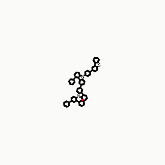 c1ccc(-c2ccc(-n3c4ccccc4c4cc(-c5ccc6c(c5)c5c(-c7ccccc7)cccc5n6-c5ccc(-c6ccc7sc8ccccc8c7c6)cc5)ccc43)c(-c3ccccc3)c2)cc1